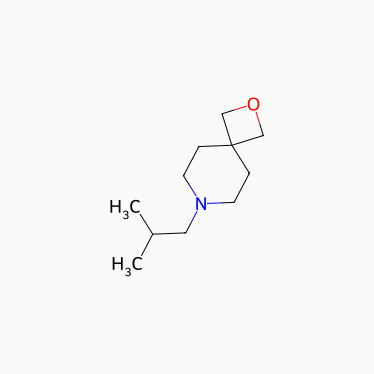 CC(C)CN1CCC2(CC1)COC2